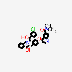 CN(C)C(=O)c1ccc2nccc(Oc3ccc(C[C@@H](CO)N(Cc4ccccc4)C[C@@H](O)c4cccc(Cl)c4)cc3)c2c1